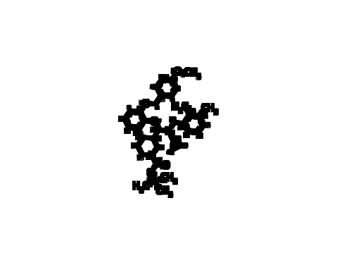 COc1ccc(COc2cccc([C@H]3CCN(C(=O)OC(C)(C)C)C[C@@H]3C(=O)N(Cc3cccc(C)c3C)C3CC3)c2)cn1